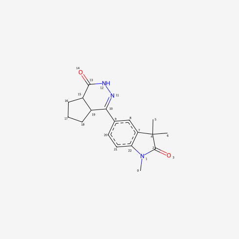 CN1C(=O)C(C)(C)c2cc(C3=NNC(=O)C4CCCC34)ccc21